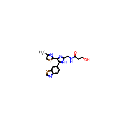 Cc1csc(-c2nc(CNC(=O)CCO)[nH]c2-c2ccc3ncsc3c2)n1